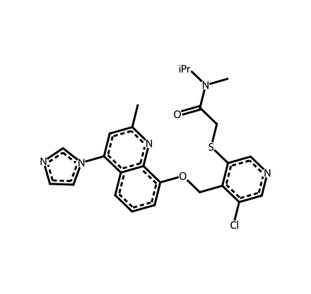 Cc1cc(-n2ccnc2)c2cccc(OCc3c(Cl)cncc3SCC(=O)N(C)C(C)C)c2n1